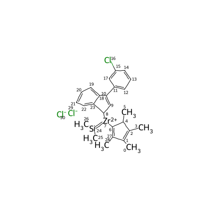 CC1=C(C)C(C)[C]([Zr+2]([CH]2C=C(c3cccc(Cl)c3)c3ccccc32)=[Si](C)C)=C1C.[Cl-].[Cl-]